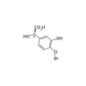 CC(C)Oc1ccc([C@@H](O)C(=O)O)cc1O